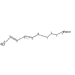 CCCCCCCCC/C=C/C=CO